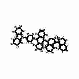 c1ccc2c(c1)ccc1oc3cc(-c4c5ccccc5c(-c5ccc(-n6c7ccccc7c7ccccc76)cc5)c5ccccc45)c4ccccc4c3c12